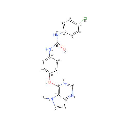 Cn1ccc2ncnc(Oc3ccc(NC(=O)Nc4ccc(Cl)cc4)cc3)c21